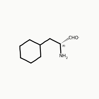 N[C@@H]([C]=O)CC1CCCCC1